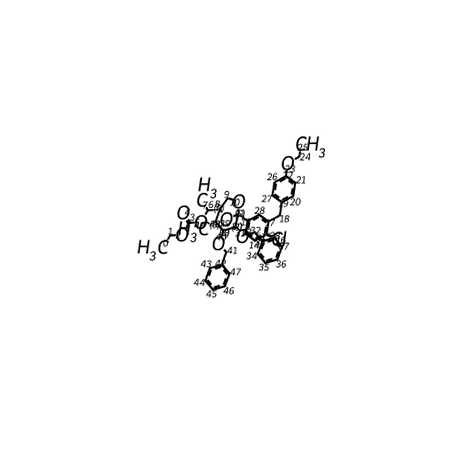 CCOC(=O)OC(C)[C@@]12CO[C@@](c3ccc(Cl)c(Cc4ccc(OCC)cc4)c3)(O1)[C@H](OCc1ccccc1)[C@@H](OCc1ccccc1)[C@@H]2C